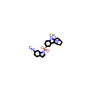 [C-]#[N+]c1ccc2ccn(S(=O)(=O)c3ccc4c(c3)c3c(n4C)CC4CCC3N4)c2c1